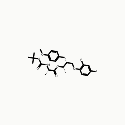 COc1ccc(C[C@H](COc2ccc(F)cc2F)[C@H](C)OC(=O)[C@H](C)NC(=O)OC(C)(C)C)cc1